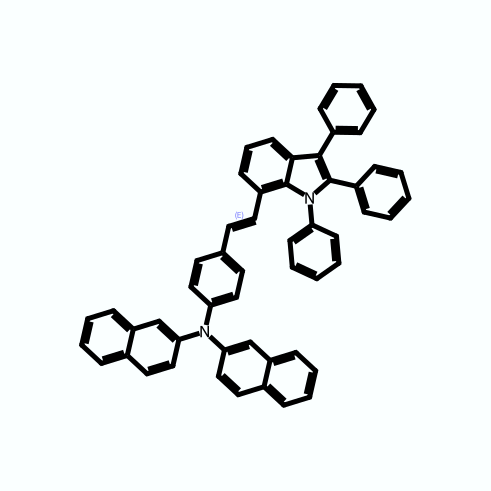 C(=C\c1cccc2c(-c3ccccc3)c(-c3ccccc3)n(-c3ccccc3)c12)/c1ccc(N(c2ccc3ccccc3c2)c2ccc3ccccc3c2)cc1